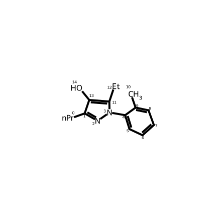 CCCc1nn(-c2ccccc2C)c(CC)c1O